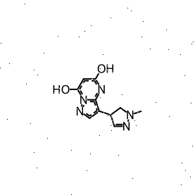 CN1CC(c2cnn3c(O)cc(O)nc23)C=N1